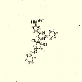 CCCNc1ncc(-c2cc(-c3c(Cl)cc(OCc4ccccc4)cc3Cl)nc(-c3cnccn3)n2)s1